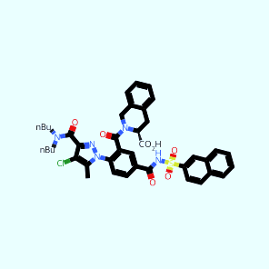 CCCCN(CCCC)C(=O)c1nn(-c2ccc(C(=O)NS(=O)(=O)c3ccc4ccccc4c3)cc2C(=O)N2Cc3ccccc3C[C@H]2C(=O)O)c(C)c1Cl